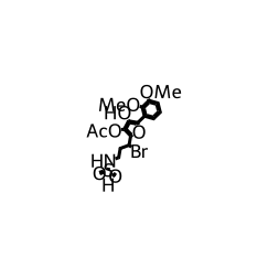 COc1cccc(-c2oc(C(Br)CCN[SH](=O)=O)c(OC(C)=O)c2O)c1OC